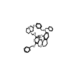 N#Cc1c(N(Cc2ccccc2)Cc2ccccc2)ccc2c1C1(CCC2)Cc2nc(OC[C@@]34CCCN3C[C@H](F)C4)nc(OCc3ccccc3)c2CO1